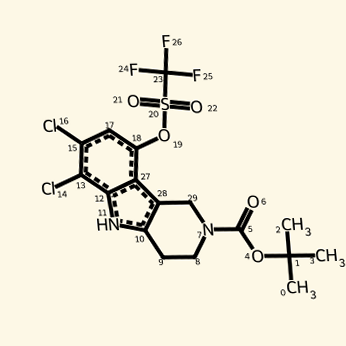 CC(C)(C)OC(=O)N1CCc2[nH]c3c(Cl)c(Cl)cc(OS(=O)(=O)C(F)(F)F)c3c2C1